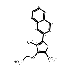 O=C(O)COc1c(C(=O)O)sc(-c2ccc3ccccc3c2)c1Cl